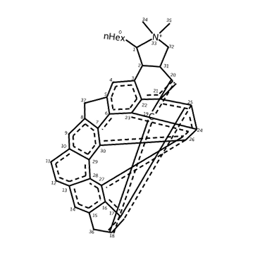 CCCCCCC1C2c3cc4c5c6c(cc7ccc8cc9c%10c%11c(cc(c%12c3c5c(c%12%11)c3c%10c8c7c63)C2C[N+]1(C)C)C9)C4